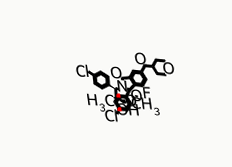 COC1(c2ccc(Cl)cc2)c2c(F)cc(C(=O)C3CCOCC3)cc2C(=O)N1[C@H](c1ccc(Cl)cc1)[C@H](C)C(=O)O